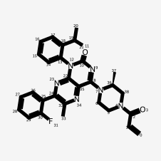 C=CC(=O)N1CCN(c2nc(=O)n(-c3ccccc3C(C)C)c3nc(-c4ccccc4F)c(C)nc23)[C@@H](C)C1